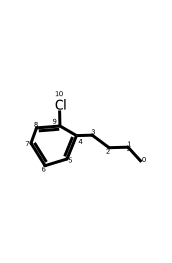 C[CH]CCc1ccccc1Cl